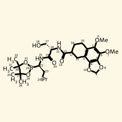 COc1c2c(c3c(c1OC)OCO3)CC(C(=O)N[C@@H](CO)C(=O)N[C@@H](CC(C)C)B1OC(C)(C)C(C)(C)O1)CC2